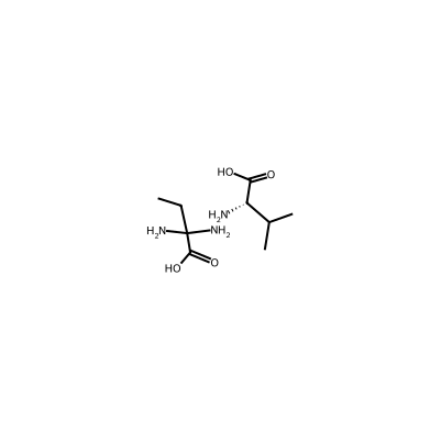 CC(C)[C@H](N)C(=O)O.CCC(N)(N)C(=O)O